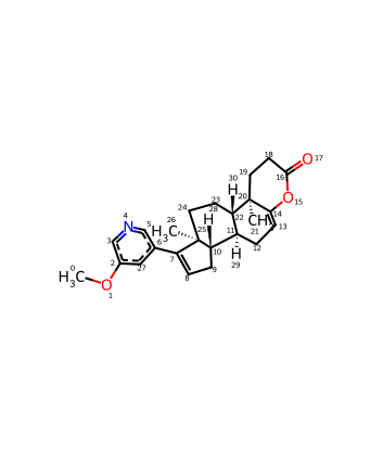 COc1cncc(C2=CC[C@H]3[C@@H]4CC=C5OC(=O)CC[C@]5(C)[C@H]4CC[C@]23C)c1